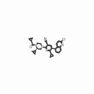 N#Cc1cc(-c2cccc3nc(Cl)ccc23)c(C2CC2)nc1N1CCN(C(=O)C2CC2)[C@H](C2CC2)C1